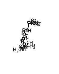 CNC(=O)c1c[nH]c2c(C(C)C)cc(N3CCc4cc(-c5ccc(C(=O)NCCC#Cc6cccc7c6CN(C6CCC(=O)NC6=O)C7=O)nc5)c(C(F)F)cc43)cc12